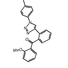 COc1ccccc1C(=O)c1ccccc1-c1cn(-c2ccc(C)cc2)nn1